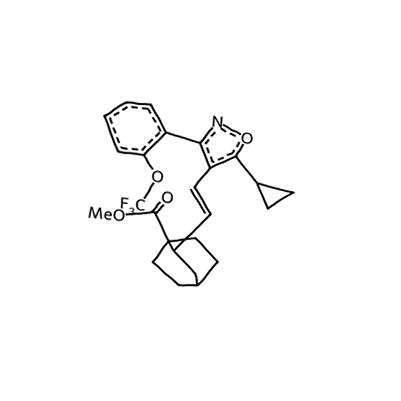 COC(=O)C12CCC(CC1)CC2C=Cc1c(-c2ccccc2OC(F)(F)F)noc1C1CC1